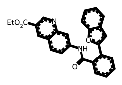 CCOC(=O)c1cnc2cc(NC(=O)c3ccccc3-c3cc4ccccc4o3)ccc2c1